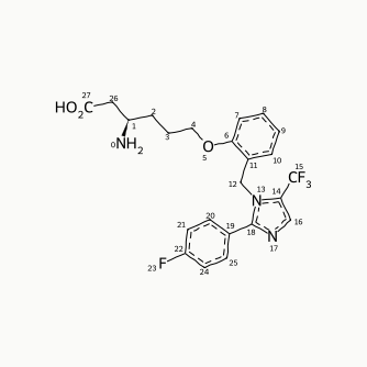 N[C@H](CCCOc1ccccc1Cn1c(C(F)(F)F)cnc1-c1ccc(F)cc1)CC(=O)O